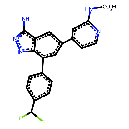 Nc1n[nH]c2c(-c3ccc(C(F)F)cc3)cc(-c3ccnc(NC(=O)O)c3)cc12